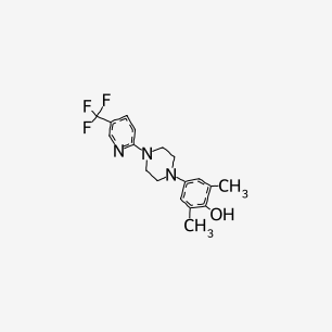 Cc1cc(N2CCN(c3ccc(C(F)(F)F)cn3)CC2)cc(C)c1O